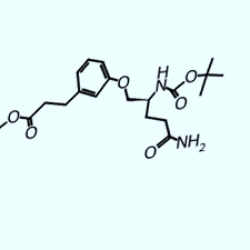 COC(=O)CCc1cccc(OC[C@H](CCC(N)=O)NC(=O)OC(C)(C)C)c1